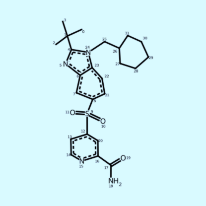 CC(C)(C)c1nc2cc(S(=O)(=O)c3ccnc(C(N)=O)c3)ccc2n1CC1CCCCC1